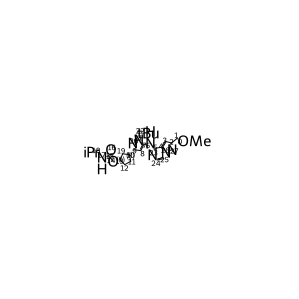 COCc1cc2c(Nc3cc([C@@H]4CC[C@H](OC(=O)NC(C)C)C4)nn3C(C)(C)C)nccn2n1